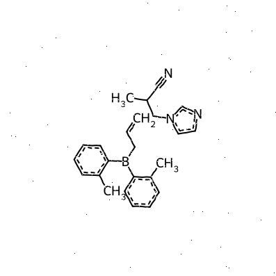 C=CCB(c1ccccc1C)c1ccccc1C.CC(C#N)Cn1ccnc1